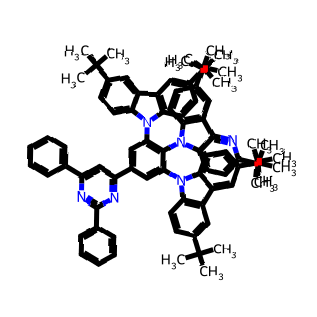 CC(C)(C)c1ccc2c(c1)c1cc(C(C)(C)C)ccc1n2-c1cc(-c2cc(-c3ccccc3)nc(-c3ccccc3)n2)cc(-n2c3ccc(C(C)(C)C)cc3c3cc(C(C)(C)C)ccc32)c1-n1c2ccc(C(C)(C)C)cc2c2nc(C(C)(C)C)ccc21